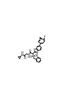 O=C(CNC(=O)C(c1nc2ccc(C3=C/C=C(F)\C=C\C=C\3)cc2s1)S(=O)(=O)Cc1ccccc1F)NC1CC1